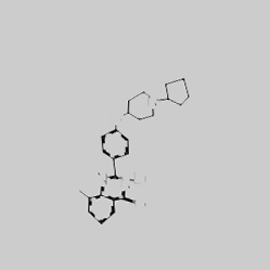 CCn1c(-c2ccc(OC3CCN(C4CCCC4)CC3)cc2)nc2c(C)cccc2c1=O